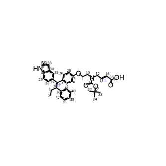 CC/C(=C(/c1ccc(OCCN(C/C=C/C(=O)O)C(=O)OC(C)(C)C)cc1)c1ccc2[nH]ncc2c1)c1ccccc1